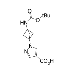 CC(C)(C)OC(=O)NC12CC(n3cc(C(=O)O)cn3)(C1)C2